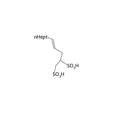 CCCCCCC/C=C/CC(CS(=O)(=O)O)S(=O)(=O)O